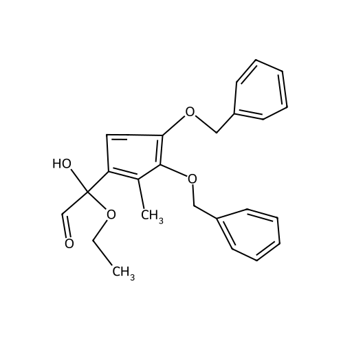 CCOC(O)(C=O)c1ccc(OCc2ccccc2)c(OCc2ccccc2)c1C